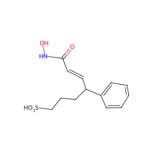 O=C(C=CC(CCCS(=O)(=O)O)c1ccccc1)NO